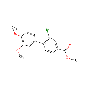 COC(=O)c1ccc(-c2ccc(OC)c(OC)c2)c(Br)c1